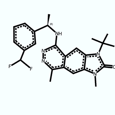 Cc1nnc(N[C@H](C)c2cccc(C(F)F)c2)c2cc3c(cc12)n(C)c(=O)n3C(C)(C)C